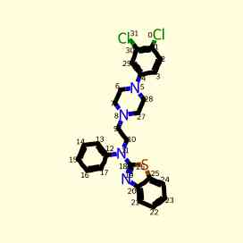 Clc1ccc(N2CCN(CCN(c3ccccc3)c3nc4ccccc4s3)CC2)cc1Cl